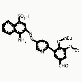 CCCCOc1c(OCC)cc(C=O)cc1-c1ccc(N=Nc2cc(S(=O)(=O)O)c3ccccc3c2N)cn1